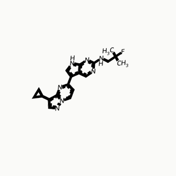 CC(C)(F)CNc1ncc2c(-c3ccn4ncc(C5CC5)c4n3)c[nH]c2n1